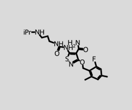 Cc1cc(C)c(COc2nsc(NC(=O)NCCCNC(C)C)c2C(N)=O)c(F)c1